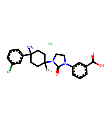 CC1(N2CCN(c3cccc(C(=O)O)c3)C2=O)CCC(N)(c2cccc(Cl)c2)CC1.Cl